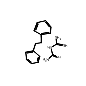 N=C(N)NC(=N)N.c1ccc(CCc2ccccc2)cc1